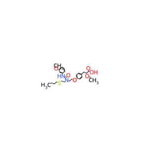 CCCCSCCN(CCOc1ccc(CC(OCC)C(=O)O)cc1)C(=O)Nc1cccc(OC)c1